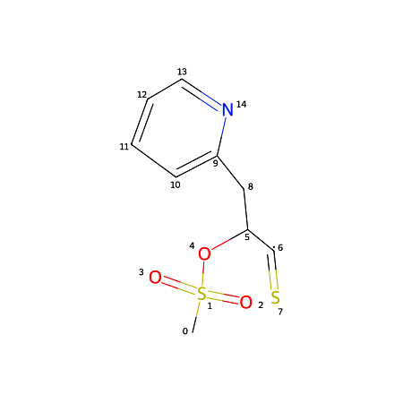 CS(=O)(=O)OC([C]=S)Cc1ccccn1